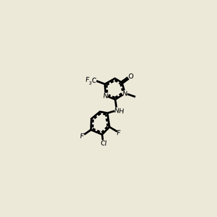 Cn1c(Nc2ccc(F)c(Cl)c2F)nc(C(F)(F)F)cc1=O